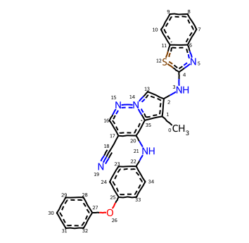 Cc1c(Nc2nc3ccccc3s2)cn2ncc(C#N)c(Nc3ccc(Oc4ccccc4)cc3)c12